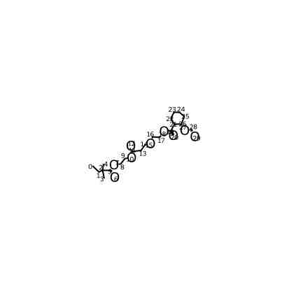 CCC(C)(C)C(=O)OCCOC(=O)CCOCCOC(=O)C1CCCCC1OC=O